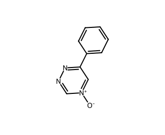 [O-][n+]1cnnc(-c2ccccc2)c1